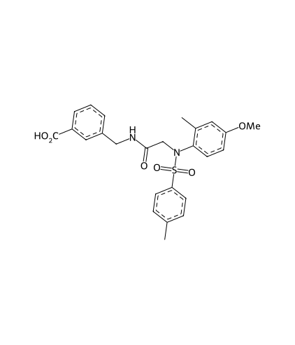 COc1ccc(N(CC(=O)NCc2cccc(C(=O)O)c2)S(=O)(=O)c2ccc(C)cc2)c(C)c1